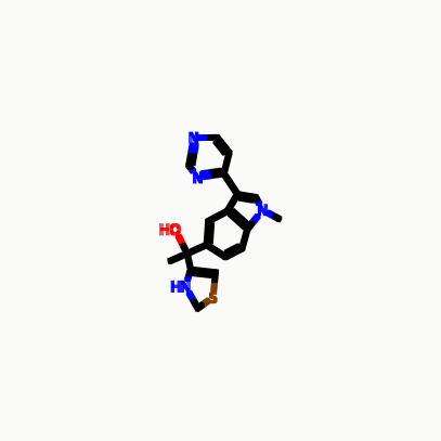 Cn1cc(-c2ccncn2)c2cc(C(C)(O)C3=CSCN3)ccc21